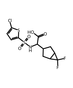 O=C(O)C(NS(=O)(=O)c1ccc(Cl)s1)C1CC2C(C1)C2(F)F